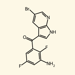 Nc1cc(F)cc(C(=O)c2c[nH]c3ncc(Br)cc23)c1F